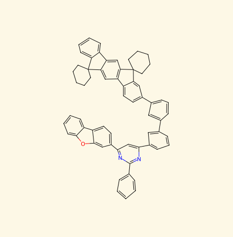 c1ccc(-c2nc(-c3cccc(-c4cccc(-c5ccc6c(c5)C5(CCCCC5)c5cc7c(cc5-6)C5(CCCCC5)c5ccccc5-7)c4)c3)cc(-c3ccc4c(c3)oc3ccccc34)n2)cc1